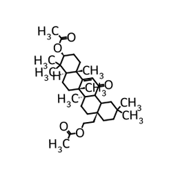 CC(=O)OCC[C@]12CCC(C)(C)CC1C1C(=O)C=C3[C@@]4(C)CC[C@H](OC(C)=O)C(C)(C)[C@@H]4CC[C@@]3(C)[C@]1(C)CC2